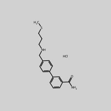 CSCCCNCc1ccc(-c2cccc(C(N)=O)c2)cc1.Cl